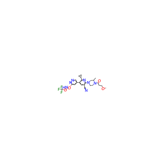 COCCC(=O)N1CCN(c2nc(C3CC3)c(-c3cnnc(ONOC(F)(F)F)c3)cc2C#N)CC1C